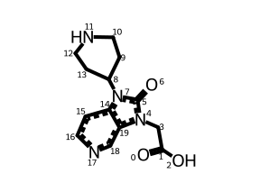 O=C(O)Cn1c(=O)n(C2CCNCC2)c2ccncc21